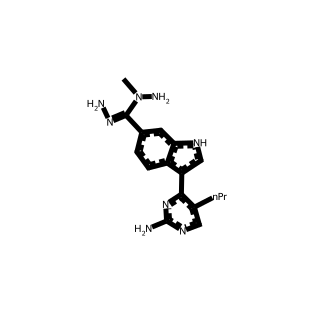 CCCc1cnc(N)nc1-c1c[nH]c2cc(/C(=N/N)N(C)N)ccc12